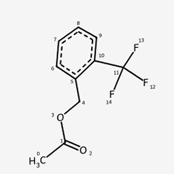 CC(=O)OCc1ccccc1C(F)(F)F